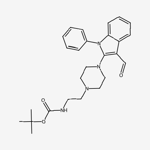 CC(C)(C)OC(=O)NCCN1CCN(c2c(C=O)c3ccccc3n2-c2ccccc2)CC1